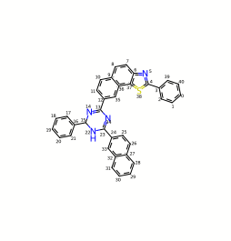 c1ccc(-c2nc3ccc4ccc(C5=NC(c6ccccc6)NC(c6ccc7ccccc7c6)=N5)cc4c3s2)cc1